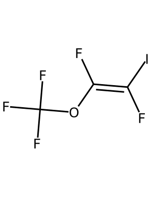 F/C(I)=C(/F)OC(F)(F)F